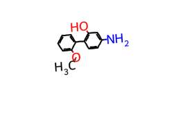 COc1ccccc1-c1ccc(N)cc1O